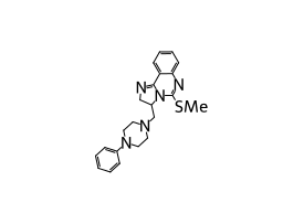 CSC1=Nc2ccccc2C2=NCC(CN3CCN(c4ccccc4)CC3)N12